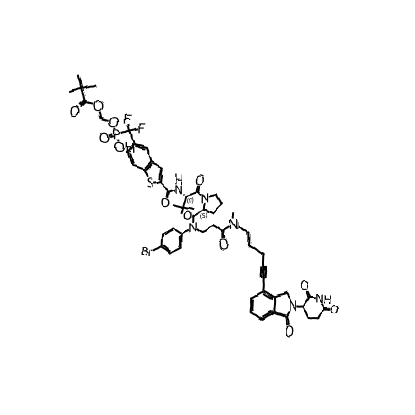 CN(CCCC#Cc1cccc2c1CN(C1CCC(=O)NC1=O)C2=O)C(=O)CCN(C(=O)[C@@H]1CCCN1C(=O)[C@@H](NC(=O)c1cc2cc(C(F)(F)P(=O)(O)OCOC(=O)C(C)(C)C)ccc2s1)C(C)(C)C)c1ccc(Br)cc1